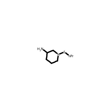 CCCSN1CCCC(N)C1